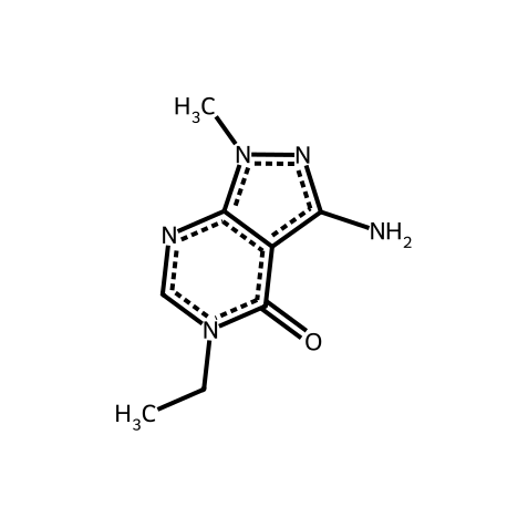 CCn1cnc2c(c(N)nn2C)c1=O